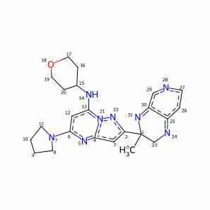 CC1(c2cc3nc(N4CCCC4)cc(NC4CCOCC4)n3n2)CN=c2ccncc2=N1